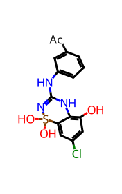 CC(=O)c1cccc(NC2=NS(O)(O)c3cc(Cl)cc(O)c3N2)c1